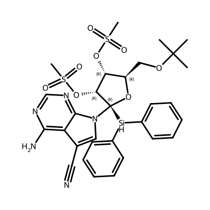 CC(C)(C)OC[C@H]1O[C@@](n2cc(C#N)c3c(N)ncnc32)([SiH](c2ccccc2)c2ccccc2)[C@H](OS(C)(=O)=O)[C@@H]1OS(C)(=O)=O